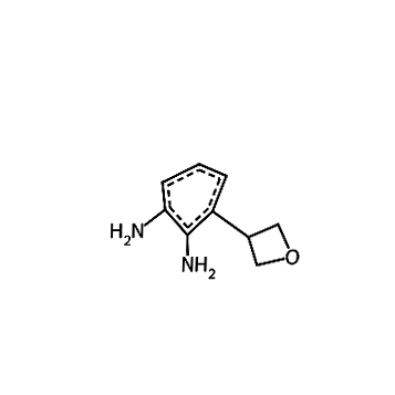 Nc1cccc(C2COC2)c1N